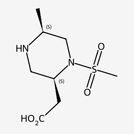 C[C@H]1CN(S(C)(=O)=O)[C@@H](CC(=O)O)CN1